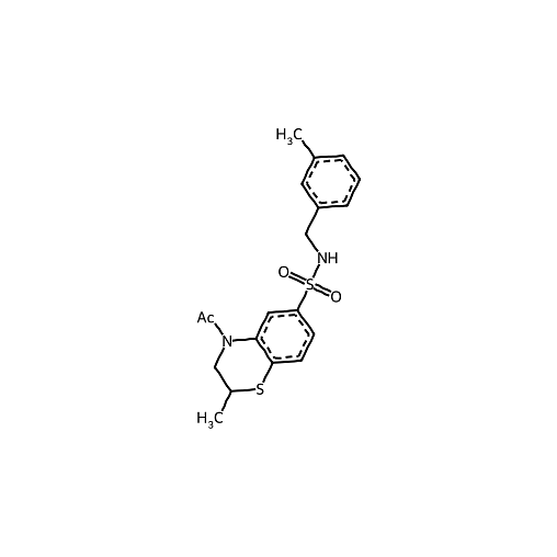 CC(=O)N1CC(C)Sc2ccc(S(=O)(=O)NCc3cccc(C)c3)cc21